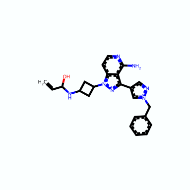 C=CC(O)NC1CC(n2nc(-c3cnn(Cc4ccccc4)c3)c3c(N)nccc32)C1